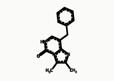 Cc1nc2c(Cc3ccccc3)c[nH]c(=O)n2c1C